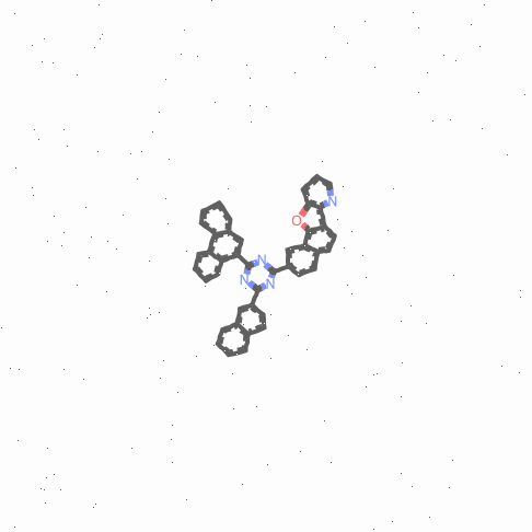 c1ccc2cc(-c3nc(-c4ccc5ccc6c7ncccc7oc6c5c4)nc(-c4cc5ccccc5c5ccccc45)n3)ccc2c1